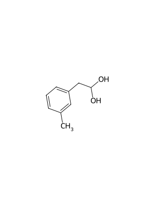 Cc1cccc(CC(O)O)c1